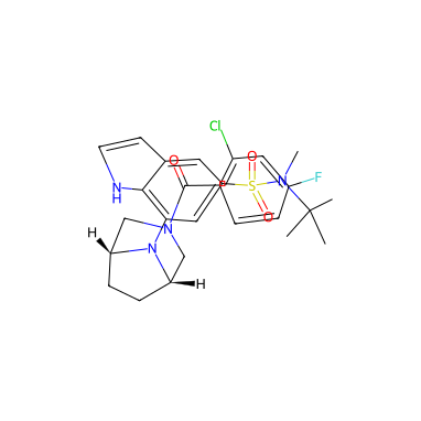 CN(C(C)(C)C)S(=O)(=O)c1cc(N2[C@@H]3CC[C@H]2CN(C(=O)c2ccc(F)cc2Cl)C3)c2[nH]ccc2c1